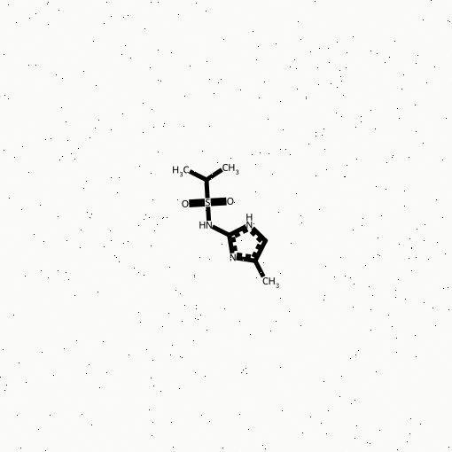 Cc1c[nH]c(NS(=O)(=O)C(C)C)n1